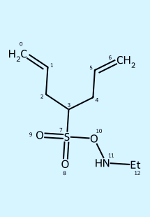 C=CCC(CC=C)S(=O)(=O)ONCC